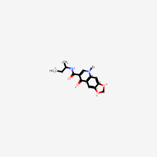 CCn1cc(C(=O)NC(C)CC(=O)O)c(=O)c2cc3c(cc21)OCO3